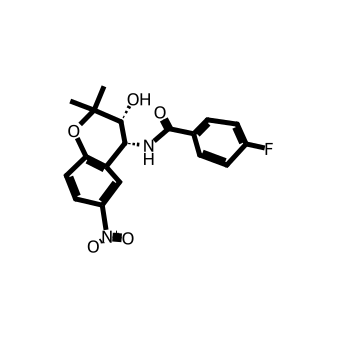 CC1(C)Oc2ccc([N+](=O)[O-])cc2[C@@H](NC(=O)c2ccc(F)cc2)[C@H]1O